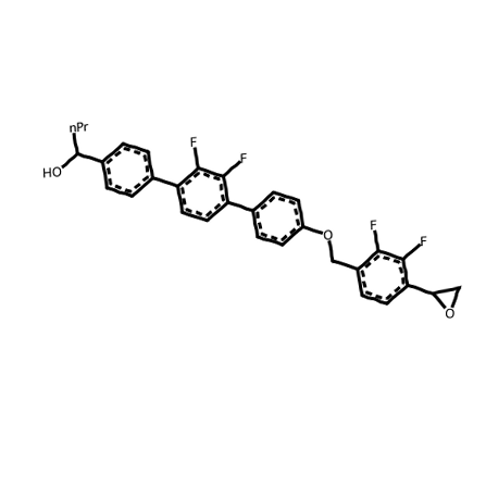 CCCC(O)c1ccc(-c2ccc(-c3ccc(OCc4ccc(C5CO5)c(F)c4F)cc3)c(F)c2F)cc1